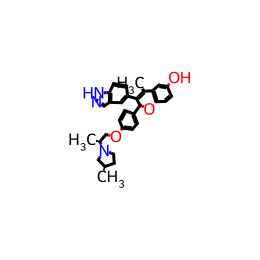 CC1=C(c2ccc3[nH]ncc3c2)C(c2ccc(OC[C@H](C)N3CC[C@@H](C)C3)cc2)Oc2ccc(O)cc21